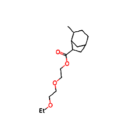 CCOCCOCCOC(=O)C1CC2CCC(C)C1C2